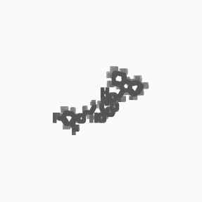 O=C(N[C@@H](CCCOc1ccc(F)cc1F)C(=O)O)OCC1c2ccccc2-c2ccccc21